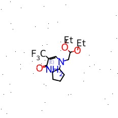 CCOC(CN(/C=C(\C(N)=O)C(F)(F)F)C1CCCC1)OCC